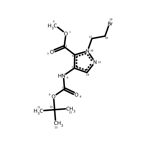 COC(=O)c1c(NC(=O)OC(C)(C)C)cnn1CCBr